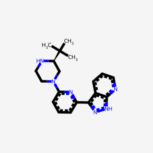 CC(C)(C)[C@H]1CN(c2cccc(-c3n[nH]c4ncccc34)n2)CCN1